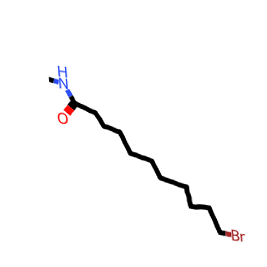 CNC(=O)CCCCCCCCCCBr